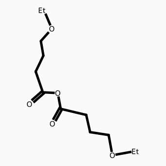 CCOCCCC(=O)OC(=O)CCCOCC